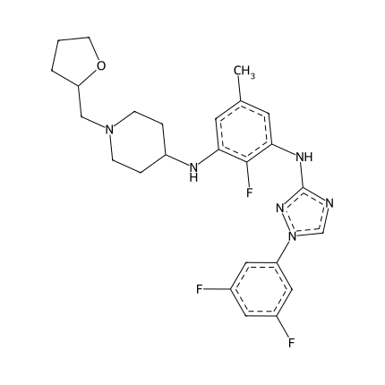 Cc1cc(Nc2ncn(-c3cc(F)cc(F)c3)n2)c(F)c(NC2CCN(CC3CCCO3)CC2)c1